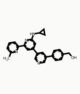 Cc1cccc(-c2cc(-c3cncc(-c4ccc(CO)cc4)c3)cc(NC3CC3)n2)n1